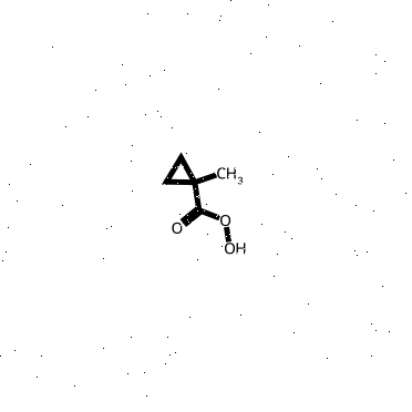 CC1(C(=O)OO)CC1